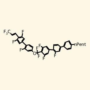 CCCCCc1ccc(-c2ccc(-c3cc(F)c(C(F)(F)Oc4ccc(-c5cc(F)c(/C=C/C(F)(F)F)c(F)c5)c(F)c4)c(F)c3)c(F)c2)cc1